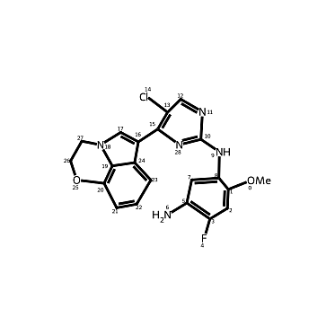 COc1cc(F)c(N)cc1Nc1ncc(Cl)c(-c2cn3c4c(cccc24)OCC3)n1